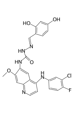 COc1cc2nccc(Nc3ccc(F)c(Cl)c3)c2cc1NC(=O)N/N=C/c1ccc(O)cc1O